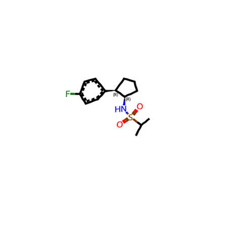 CC(C)S(=O)(=O)N[C@@H]1CCC[C@@H]1c1ccc(F)cc1